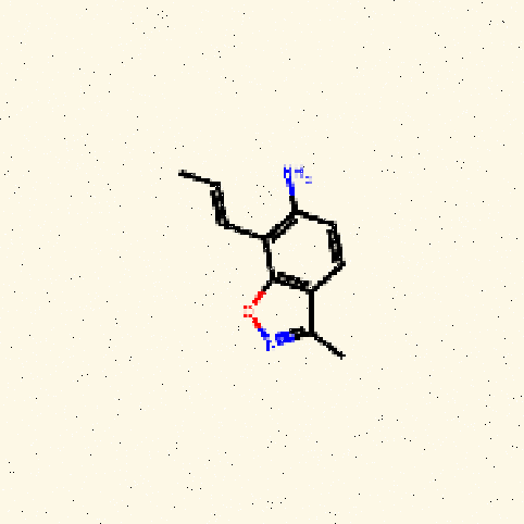 CC=Cc1c(N)ccc2c(C)noc12